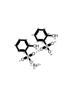 O=S(=O)([O-])c1ccccc1O.O=S(=O)([O-])c1ccccc1O.[Ba+2]